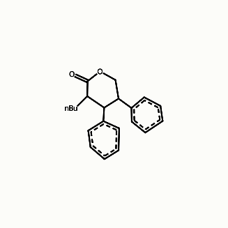 CCCCC1C(=O)OCC(c2ccccc2)C1c1ccccc1